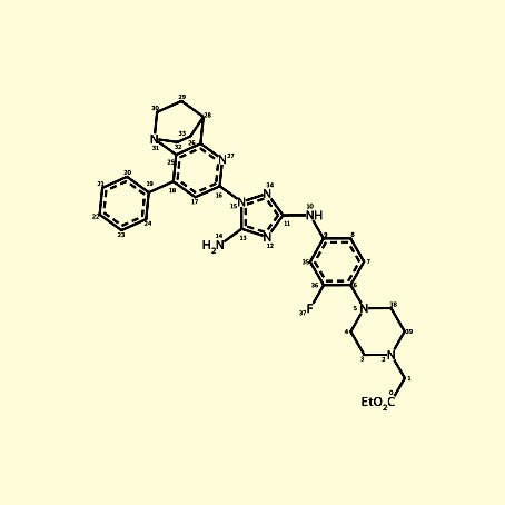 CCOC(=O)CN1CCN(c2ccc(Nc3nc(N)n(-c4cc(-c5ccccc5)c5c(n4)C4CCN5CC4)n3)cc2F)CC1